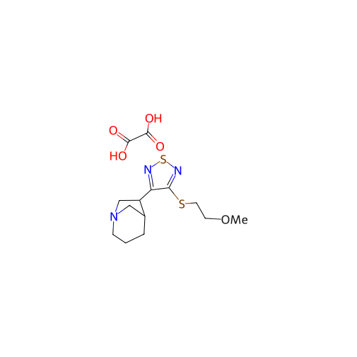 COCCSc1nsnc1C1CN2CCCC1C2.O=C(O)C(=O)O